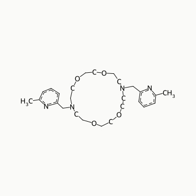 Cc1cccc(CN2CCOCCOCCN(Cc3cccc(C)n3)CCOCCOCC2)n1